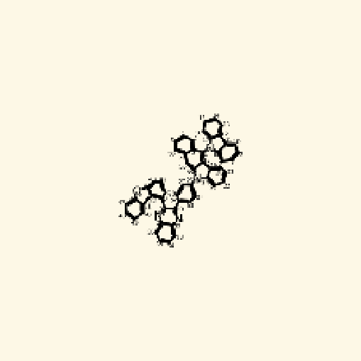 c1ccc2c(-n3c4ccccc4c4ccccc43)c3c4ccccc4n(-c4ccc(-c5nc6ccccc6nc5-c5cccc6oc7ccccc7c56)cc4)c3cc2c1